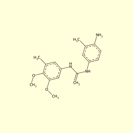 C=C(Nc1ccc(N)c(C)c1)Nc1cc(C)c(OC)c(OC)c1